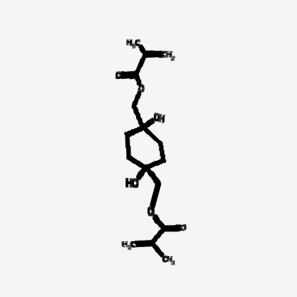 C=C(C)C(=O)OCC1(O)CCC(O)(COC(=O)C(=C)C)CC1